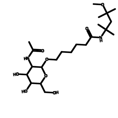 COC(C)(C)CC(C)(C)NC(=O)CCCCCOC1OC(CO)C(O)C(O)C1NC(C)=O